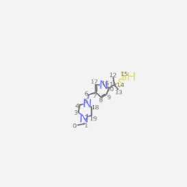 CCN1CCN(Cc2ccc(C(C)(C)SS)nc2)CC1